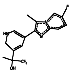 Cc1c(C2=CNCC(C(C)(O)C(F)(F)F)=C2)nc2ccc(F)cn12